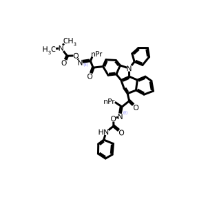 CCC/C(=N\OC(=O)N(C)C)C(=O)c1ccc2c(c1)c1cc(C(=O)/C(CCC)=N/OC(=O)Nc3ccccc3)c3ccccc3c1n2-c1ccccc1